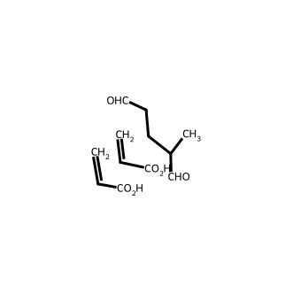 C=CC(=O)O.C=CC(=O)O.CC(C=O)CCC=O